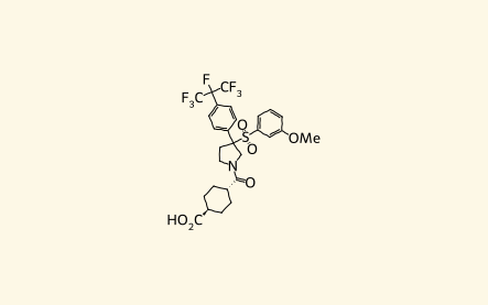 COc1cccc(S(=O)(=O)C2(c3ccc(C(F)(C(F)(F)F)C(F)(F)F)cc3)CCN(C(=O)[C@H]3CC[C@H](C(=O)O)CC3)C2)c1